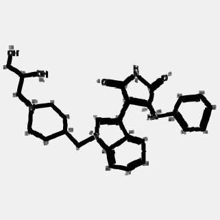 O=C1NC(=O)C(c2cn(CC3CCN(CC(O)CO)CC3)c3ccccc23)=C1Nc1ccccc1